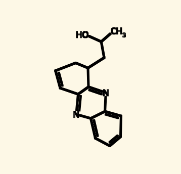 CC(O)CC1CC=Cc2nc3ccccc3nc21